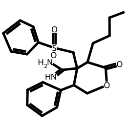 CCCCC1C(=O)OCC(c2ccccc2)C1(CS(=O)(=O)c1ccccc1)C(=N)N